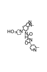 Cc1cc(-c2nc(C(=O)Nc3cc4c(cnn4C)cc3N3CC[C@H](O)C3)co2)ccn1